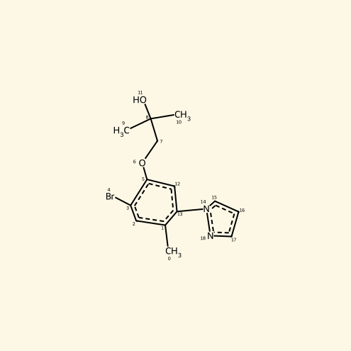 Cc1cc(Br)c(OCC(C)(C)O)cc1-n1cccn1